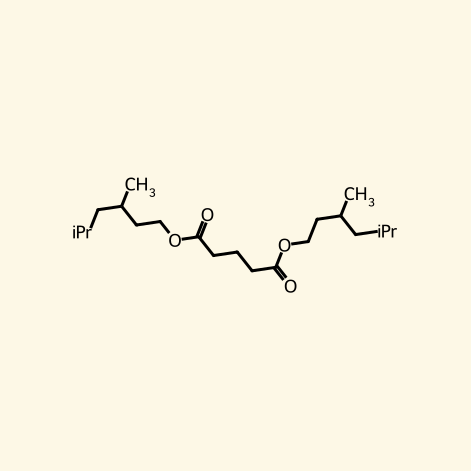 CC(C)CC(C)CCOC(=O)CCCC(=O)OCCC(C)CC(C)C